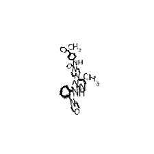 CC(=O)c1ccc(NC(=O)N2CCN(c3nc(Nc4ccccc4N4CCOCC4)ncc3C)CC2)cc1